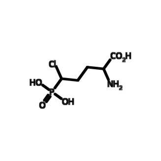 NC(CCC(Cl)P(=O)(O)O)C(=O)O